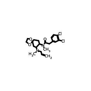 C=CCN(C)C1CC2(CCC1N(C)C(=O)Cc1ccc(Cl)c(Cl)c1)OCCO2